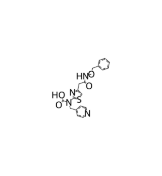 O=C(Cc1csc(N(Cc2ccncc2)C(=O)O)n1)NOCc1ccccc1